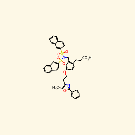 Cc1oc(-c2ccccc2)nc1CCOc1ccc(CCC(=O)O)c(CN(S(=O)(=O)c2ccc3ccccc3c2)S(=O)(=O)c2ccc3ccccc3c2)c1